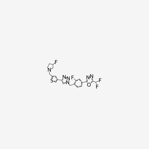 Fc1cc(-c2nnc(C(F)F)o2)ccc1Cn1cc(-c2csc(CN3CCC(F)C3)c2)nn1